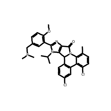 COc1ccc(CN(C)C)cc1-c1nc2c(n1C(C)C)C1c3ccc(Cl)cc3-c3c(Cl)ccc(C)c3N1C2=O